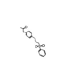 CC(=O)Cc1ccc(CCCS(=O)(=O)c2ccccc2)cc1